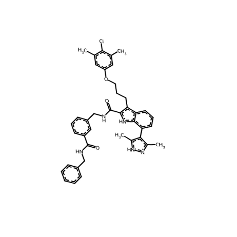 Cc1cc(OCCCc2c(C(=O)NCc3cccc(C(=O)NCc4ccccc4)c3)[nH]c3c(-c4c(C)n[nH]c4C)cccc23)cc(C)c1Cl